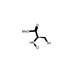 COC(=O)[C@@H](CS)NCl